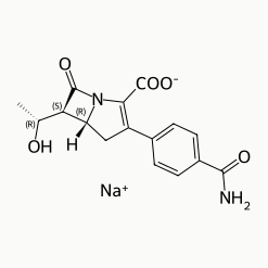 C[C@@H](O)[C@H]1C(=O)N2C(C(=O)[O-])=C(c3ccc(C(N)=O)cc3)C[C@H]12.[Na+]